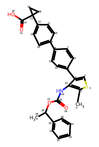 Cc1scc(-c2ccc(-c3ccc(C4(C(=O)O)CC4)cc3)cc2)c1NC(=O)OC(C)c1ccccc1